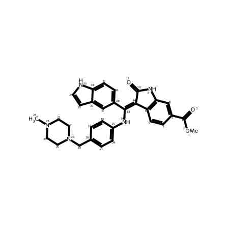 COC(=O)c1ccc2c(c1)NC(=O)C2=C(Nc1ccc(CN2CCN(C)CC2)cc1)c1ccc2[nH]ccc2c1